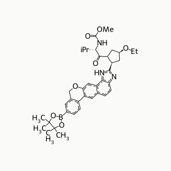 CCO[C@@H]1CC(C(=O)[C@@H](NC(=O)OC)C(C)C)[C@H](c2nc3ccc4cc5c(cc4c3[nH]2)OCc2cc(B3OC(C)(C)C(C)(C)O3)ccc2-5)C1